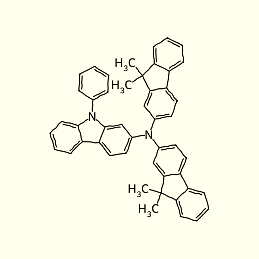 CC1(C)c2ccccc2-c2ccc(N(c3ccc4c(c3)C(C)(C)c3ccccc3-4)c3ccc4c5ccccc5n(-c5ccccc5)c4c3)cc21